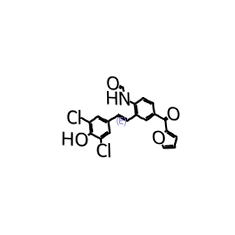 O=CNc1ccc(C(=O)c2ccco2)cc1/C=C/c1cc(Cl)c(O)c(Cl)c1